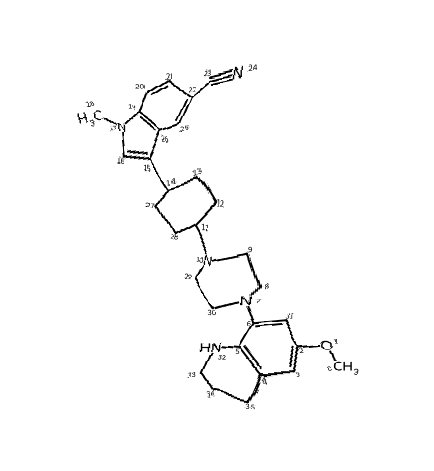 COc1cc2c(c(N3CCN(C4CCC(c5cn(C)c6ccc(C#N)cc56)CC4)CC3)c1)NCCC2